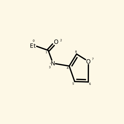 CCC(=O)[N]c1ccoc1